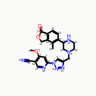 COc1cc(-n2cc(CN3CCNC(c4ccc5c(c4C)COC5=O)C3)nn2)ncc1C#N